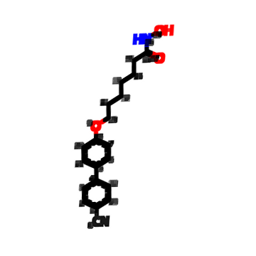 N#Cc1ccc(-c2ccc(OCCCCCCC(=O)NO)cc2)cc1